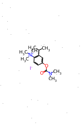 CC(C)c1cc(OC(=O)N(C)C)ccc1[N+](C)(C)C.[I-]